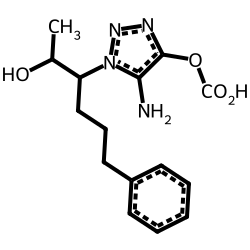 CC(O)C(CCCc1ccccc1)n1nnc(OC(=O)O)c1N